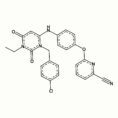 CCn1c(=O)cc(Nc2ccc(Oc3cccc(C#N)n3)cc2)n(Cc2ccc(Cl)cc2)c1=O